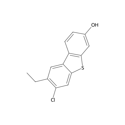 CCc1cc2c(cc1Cl)sc1cc(O)ccc12